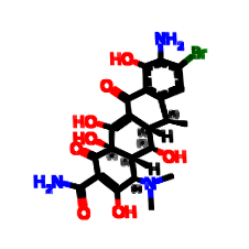 C[C@@H]1c2cc(Br)c(N)c(O)c2C(=O)C2=C(O)[C@@]3(O)C(=O)C(C(N)=O)=C(O)[C@H](N(C)C)[C@H]3[C@H](O)[C@H]21